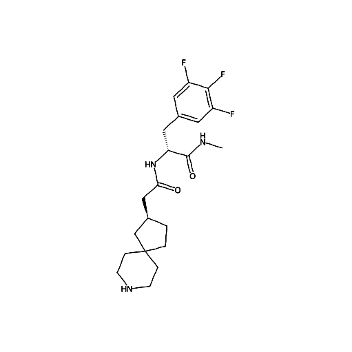 CNC(=O)[C@@H](Cc1cc(F)c(F)c(F)c1)NC(=O)C[C@H]1CCC2(CCNCC2)C1